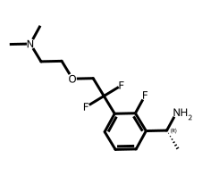 C[C@@H](N)c1cccc(C(F)(F)COCCN(C)C)c1F